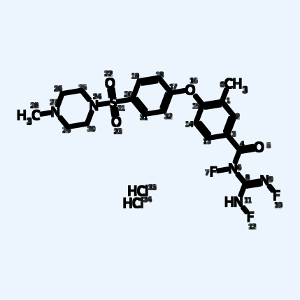 Cc1cc(C(=O)N(F)C(=NF)NF)ccc1Oc1ccc(S(=O)(=O)N2CCN(C)CC2)cc1.Cl.Cl